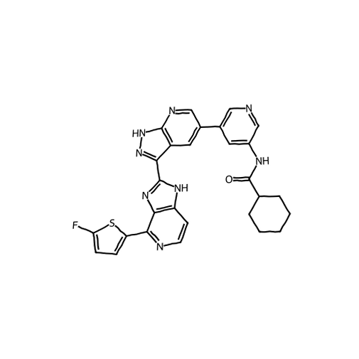 O=C(Nc1cncc(-c2cnc3[nH]nc(-c4nc5c(-c6ccc(F)s6)nccc5[nH]4)c3c2)c1)C1CCCCC1